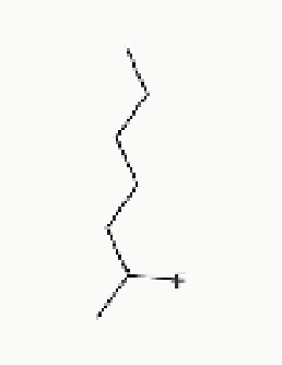 CCCCC[C](C)F